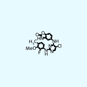 COc1c(C)ccc(Nc2ncc(Cl)c(Nc3ccc4oc(=O)[nH]c4c3)n2)c1F